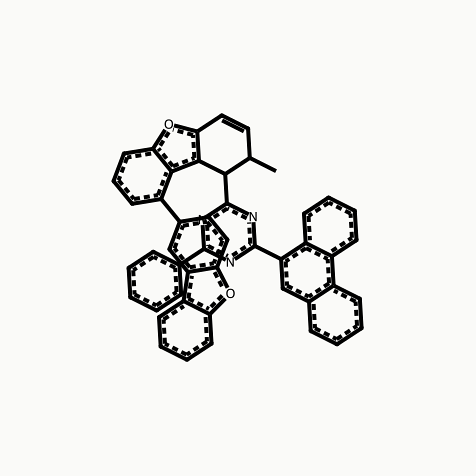 CC1C=Cc2oc3cccc(-c4ccc5oc6ccccc6c5c4)c3c2C1c1nc(-c2ccccc2)nc(-c2cc3ccccc3c3ccccc23)n1